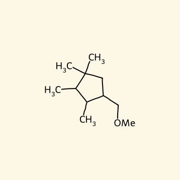 COCC1CC(C)(C)C(C)C1C